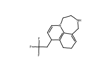 FC(F)(F)CC1C=CN2CCNCC3=CCCC1=C32